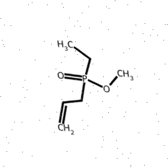 C=CCP(=O)(CC)OC